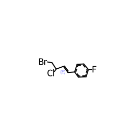 Fc1ccc(/C=C/C(Cl)CBr)cc1